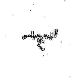 O=C=NCc1cccc(CNC(=O)OCCOC(=O)CCN(CCOC(=O)NCc2cccc(CN=C=O)c2)CCC(=O)OCCOC(=O)NCc2cccc(CN=C=O)c2)c1